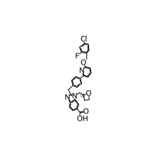 O=C(O)c1ccc2nc(Cc3ccc(-c4cccc(OCc5ccc(Cl)cc5F)n4)cc3)n(C[C@@H]3CCO3)c2c1